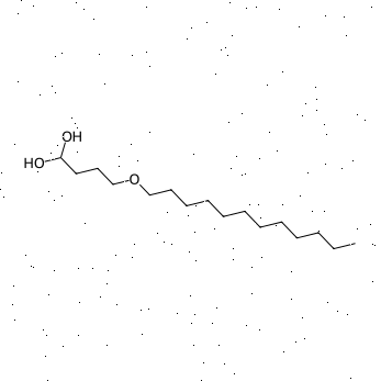 CCCCCCCCCCCCOCCCC(O)O